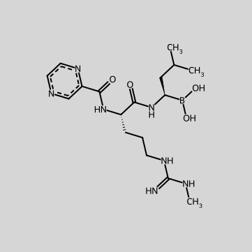 CNC(=N)NCCC[C@H](NC(=O)c1cnccn1)C(=O)N[C@@H](CC(C)C)B(O)O